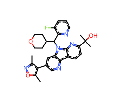 Cc1noc(C)c1-c1cnc2c3ccc(C(C)(C)O)nc3n(C(c3ncccc3F)C3CCOCC3)c2c1